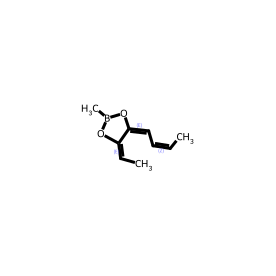 C\C=C/C=C1/OB(C)O/C1=C/C